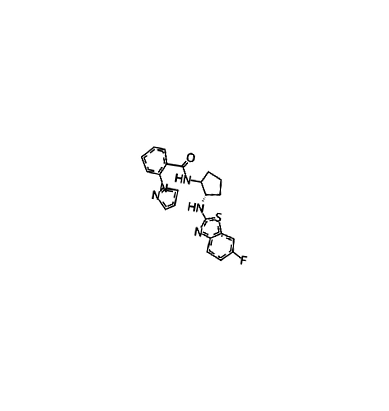 O=C(NC1CCC[C@@H]1Nc1nc2ccc(F)cc2s1)c1ccccc1-n1cccn1